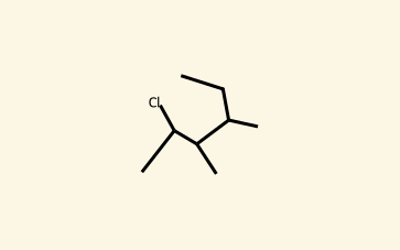 CCC(C)C(C)C(C)Cl